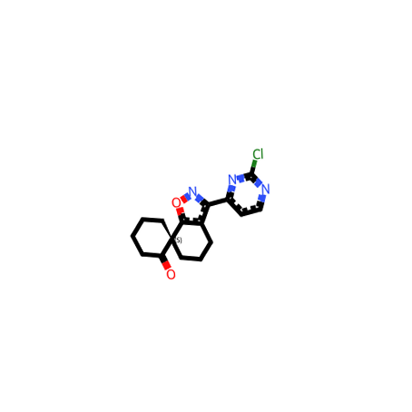 O=C1CCCC[C@@]12CCCc1c(-c3ccnc(Cl)n3)noc12